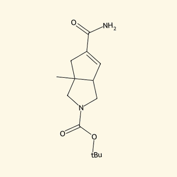 CC(C)(C)OC(=O)N1CC2C=C(C(N)=O)CC2(C)C1